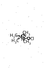 CCCN(CCC)c1cc(C)nc2c(-c3ccc(Cl)cc3)c(C)nn12